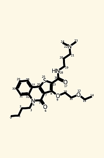 CCCCn1c(=O)c2c(OCCOCC)c(C(=O)NCCCN(C)C)sc2c2ccccc21